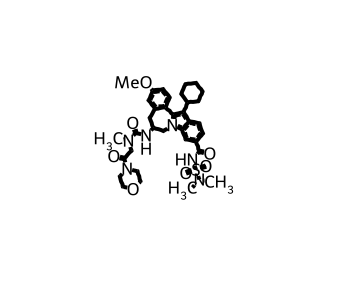 COc1ccc2c(c1)CC(NC(=O)N(C)CC(=O)N1CCOCC1)Cn1c-2c(C2CCCCC2)c2ccc(C(=O)NS(=O)(=O)N(C)C)cc21